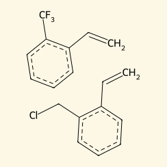 C=Cc1ccccc1C(F)(F)F.C=Cc1ccccc1CCl